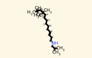 CC(C)CNCC/C=C/CCCCCCC(C)(C)CC(C)(C)C